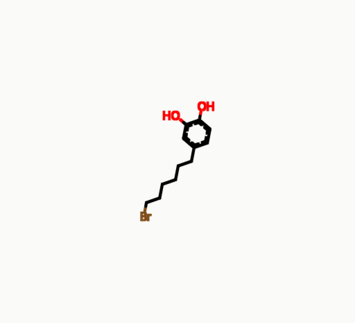 Oc1ccc(CCCCCCBr)cc1O